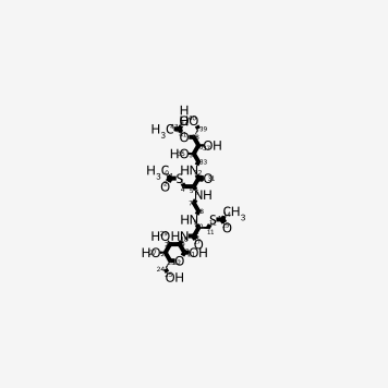 CC(=O)SCC(NCCN[C@@H](CSC(C)=O)C(=O)NC1C(O)O[C@H](CO)[C@@H](O)[C@@H]1O)C(=O)NC[C@@H](O)[C@H](O)[C@@H](CO)OC(C)O